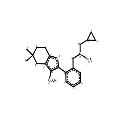 CC1(C)CCc2sc(-c3ccccc3CN(N)CC3CC3)c(C(=O)O)c2C1